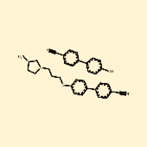 N#Cc1ccc(-c2ccc(O)cc2)cc1.N#Cc1ccc(-c2ccc(OCCCN3CC[C@@H](N)C3)cc2)cc1